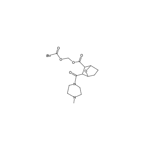 CCC(C)C(=O)OCOC(=O)C1C2CCC(O2)C1C(=O)N1CCN(C)CC1